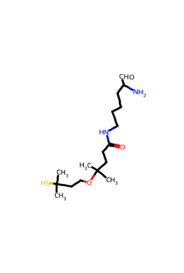 CC(C)(S)CCOC(C)(C)CCC(=O)NCCCCC(N)C=O